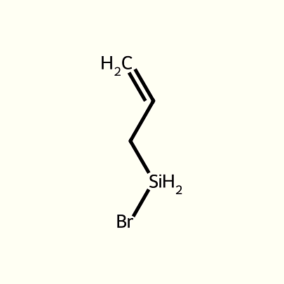 C=CC[SiH2]Br